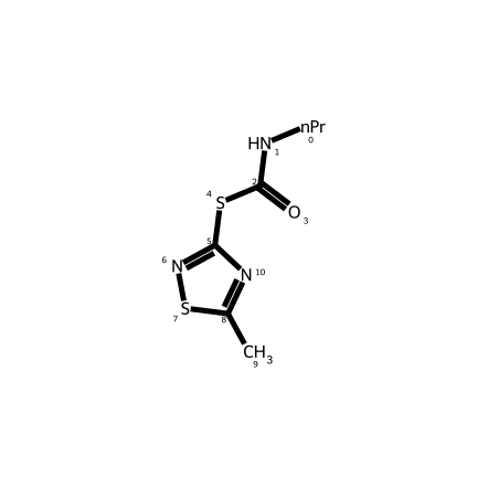 CCCNC(=O)Sc1nsc(C)n1